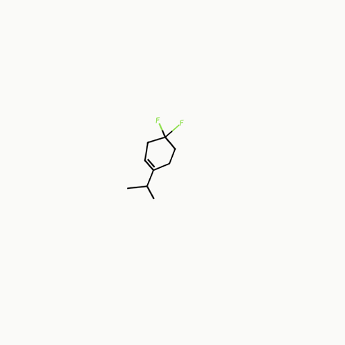 CC(C)C1=CCC(F)(F)CC1